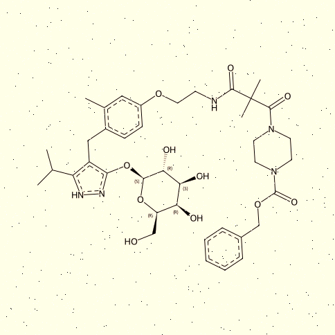 Cc1cc(OCCNC(=O)C(C)(C)C(=O)N2CCN(C(=O)OCc3ccccc3)CC2)ccc1Cc1c(O[C@@H]2O[C@H](CO)[C@H](O)[C@H](O)[C@H]2O)n[nH]c1C(C)C